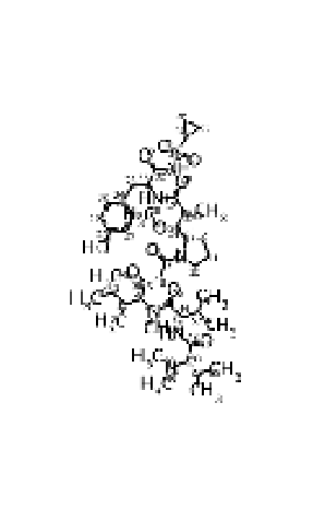 CC[C@H](C)C([C@@H](CC(=O)N1CCC[C@H]1[C@H](OC)[C@@H](C)C(=O)N[C@@H](Cc1ccc(O)cc1)C(=O)NS(=O)(=O)C1CC1)OC)N(C)C(=O)[C@@H](NC(=O)[C@H](C(C)C)N(C)C)C(C)C